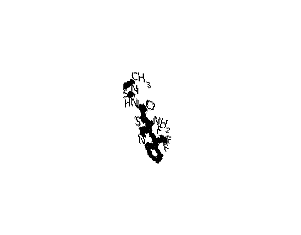 Cc1csc(NC(=O)c2sc3nc4c(c(C(F)(F)F)c3c2N)CCC4)n1